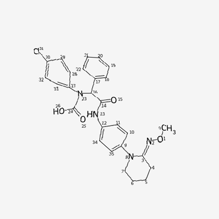 CON=C1CCCCN1c1ccc(NC(=O)C(c2ccccc2)N(C(=O)O)c2ccc(Cl)cc2)cc1